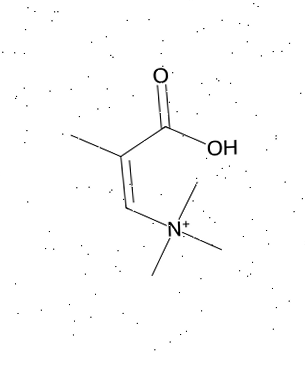 CC(=C[N+](C)(C)C)C(=O)O